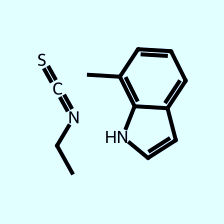 CCN=C=S.Cc1cccc2cc[nH]c12